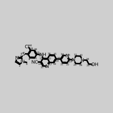 Cn1ccnc1Sc1ccc(Nc2c(C#N)cnc3cc(-c4ccc(N5CCN(CCO)CC5)nc4)ccc23)cc1Cl